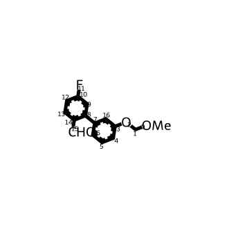 COCOc1cccc(-c2cc(F)ccc2C=O)c1